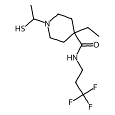 CCC1(C(=O)NCCC(F)(F)F)CCN(C(C)S)CC1